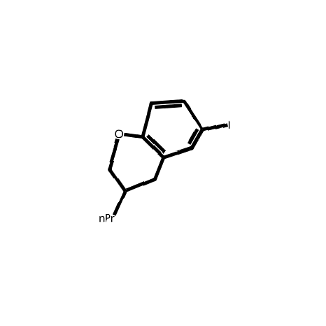 CCCC1COc2ccc(I)cc2C1